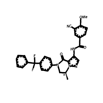 COc1ccc(C(=O)Nc2cnn3c2C(=O)N(c2ccc(C(F)(F)c4ccccc4)cc2)C[C@@H]3C)cc1C#N